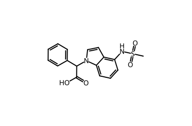 CS(=O)(=O)Nc1cccc2c1ccn2C(C(=O)O)c1ccccc1